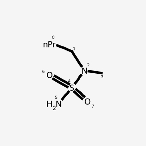 CCCCN(C)S(N)(=O)=O